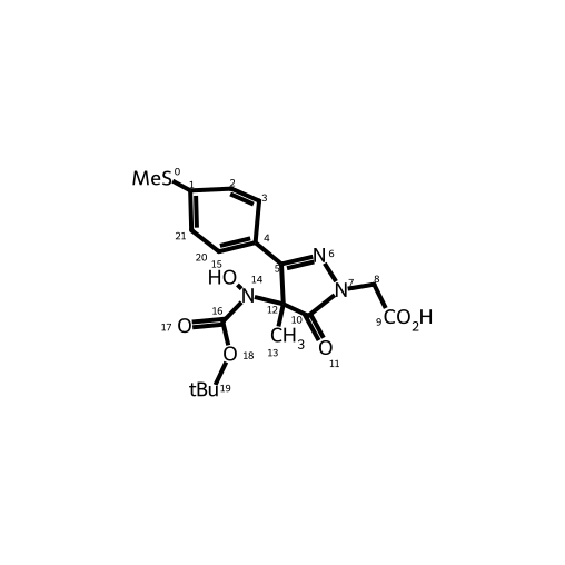 CSc1ccc(C2=NN(CC(=O)O)C(=O)C2(C)N(O)C(=O)OC(C)(C)C)cc1